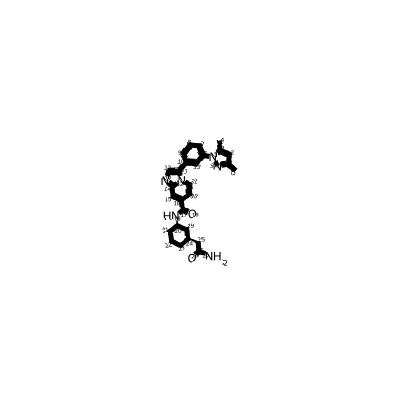 Cc1cc(C)n(-c2cccc(-c3cnc4cc(C(=O)N[C@H]5CCC[C@H](CC(N)=O)C5)ccn34)c2)n1